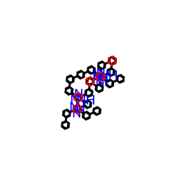 c1ccc(-c2cccc(C3=NC(c4ccccc4-c4ccccc4-c4nc(-c5cccc(-c6ccccc6)c5)nc(-c5cccc(-c6ccc(-c7cccc(-c8cccc(C9=NC(c%10ccccc%10-c%10ccccc%10-c%10ccccc%10-c%10nc(-c%11cccc(-c%12ccccc%12)c%11)nc(-c%11cccc(-c%12ccccc%12)c%11)n%10)NC(c%10cccc(-c%11ccccc%11)c%10)=N9)c8)c7)cc6)c5)n4)=NC(c4cccc(-c5ccccc5)c4)N3)c2)cc1